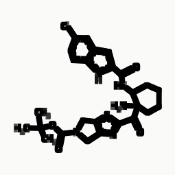 CC(C)(C)OC(=O)N1Cc2nc(C(=O)C3(N)CCCCC3NC(=O)c3cc4cc(Cl)ccc4[nH]3)sc2C1